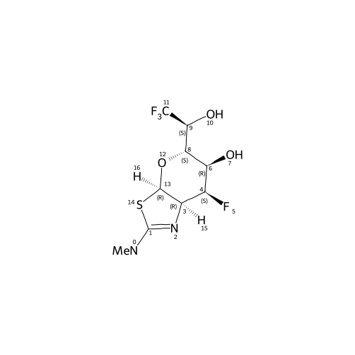 CNC1=N[C@@H]2[C@H](F)[C@H](O)[C@@H]([C@H](O)C(F)(F)F)O[C@@H]2S1